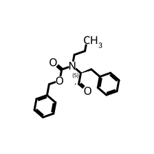 CCCN(C(=O)OCc1ccccc1)[C@H]([C]=O)Cc1ccccc1